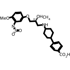 C.COc1ccc(OC[C@@H](O)CNC2CCC(c3ccc(C(=O)O)cc3)CC2)cc1N=S(=O)=O